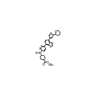 CCN(c1ccc(-c2ccc(-c3cnn(C4CCCCO4)c3)c3ncsc23)nn1)C1CCN(C(=O)OC(C)(C)C)CC1